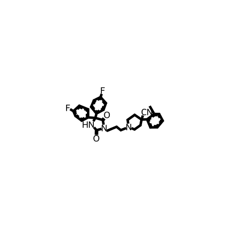 Cc1ccccc1C1(C#N)CCN(CCCN2C(=O)NC(c3ccc(F)cc3)(c3ccc(F)cc3)C2=O)CC1